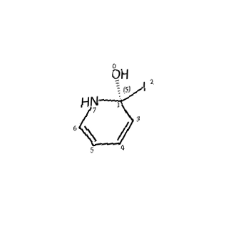 O[C@]1(I)C=CC=CN1